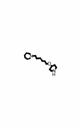 C(CCCN1CCCCCC1)CCOC1CCNCC1